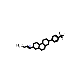 CC/C=C/C1CCC2C(CCC3CC(c4ccc(C(F)(F)F)cc4)CCC32)C1